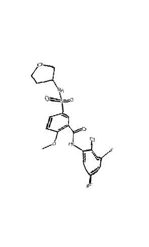 COc1ccc(S(=O)(=O)NC2CCOC2)cc1C(=O)Nc1cc(F)cc(F)c1Cl